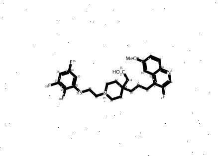 COc1ccc2ncc(F)c(CCCC3(CC(=O)O)CCN(CCSc4cc(F)cc(F)c4F)CC3)c2c1